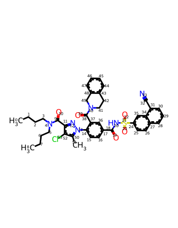 CCCCN(CCCC)C(=O)c1nn(-c2ccc(C(=O)NS(=O)(=O)c3ccc4cccc(C#N)c4c3)cc2C(=O)N2CCc3ccccc3C2)c(C)c1Cl